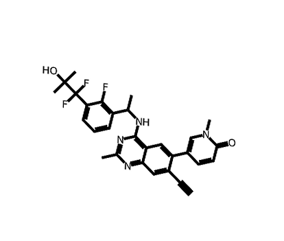 C#Cc1cc2nc(C)nc(NC(C)c3cccc(C(F)(F)C(C)(C)O)c3F)c2cc1-c1ccc(=O)n(C)c1